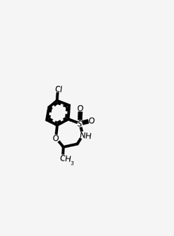 CC1CNS(=O)(=O)c2cc(Cl)ccc2O1